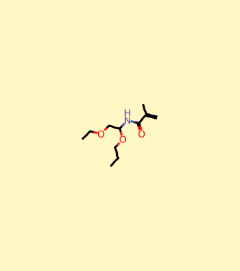 C=C(C)C(=O)NC(COCC)OCCC